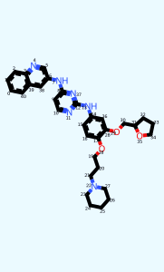 c1ccc2ncc(Nc3ccnc(Nc4ccc(OCCCN5CCCCC5)c(OCC5CCCO5)c4)n3)cc2c1